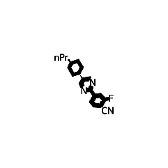 CCC[C@H]1CC[C@H](c2cnc(-c3ccc(C#N)c(F)c3)nc2)CC1